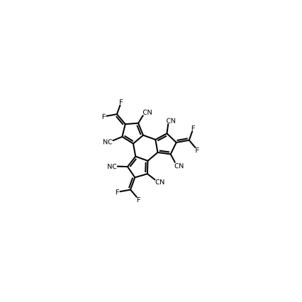 N#CC1=c2c3c(c4c(c2=C(C#N)C1=C(F)F)=C(C#N)C(=C(F)F)C=4C#N)=C(C#N)C(=C(F)F)C=3C#N